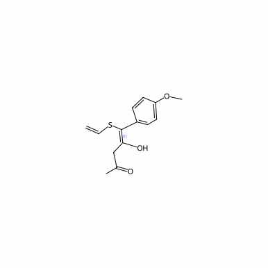 C=CS/C(=C(/O)CC(C)=O)c1ccc(OC)cc1